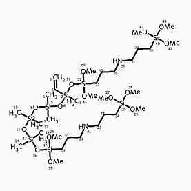 C=C[Si](C)(O[Si](C)(C)O[Si](C)(C)O[Si](C)(C)O[Si](CCCNCCC[Si](OC)(OC)OC)(OC)OC)O[Si](CCCNCCC[Si](OC)(OC)OC)(OC)OC